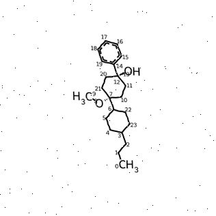 CCCC1CCC([C@]2(OC)CC[C@@](O)(c3ccccc3)CC2)CC1